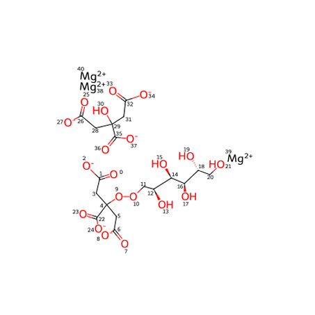 O=C([O-])CC(CC(=O)[O-])(OOC[C@H](O)[C@@H](O)[C@H](O)[C@H](O)CO)C(=O)[O-].O=C([O-])CC(O)(CC(=O)[O-])C(=O)[O-].[Mg+2].[Mg+2].[Mg+2]